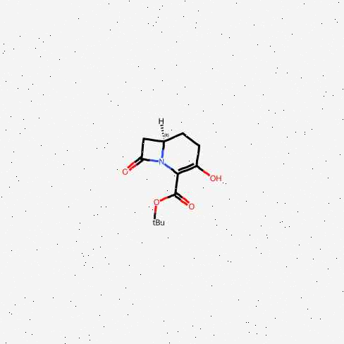 CC(C)(C)OC(=O)C1=C(O)CC[C@@H]2CC(=O)N12